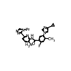 Cc1cc(F)c(C(=O)Nc2nc(-c3nncn3C(C)C)ccc2N)cc1-n1cnc(C2CC2)c1